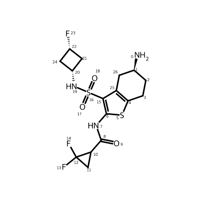 N[C@H]1CCc2sc(NC(=O)C3CC3(F)F)c(S(=O)(=O)N[C@H]3C[C@@H](F)C3)c2C1